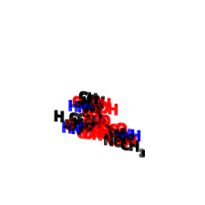 Cc1c(C#N)n([C@@H]2O[C@H](COP(=O)(OC[C@H]3O[C@@H](n4c(C#N)c(C)c(=O)[nH]c4=O)[C@H](O)[C@@H]3O)OC[C@H]3O[C@@H](n4c(C#N)c(C)c(=O)[nH]c4=O)[C@H](O)[C@@H]3O)[C@@H](O)[C@H]2O)c(=O)[nH]c1=O